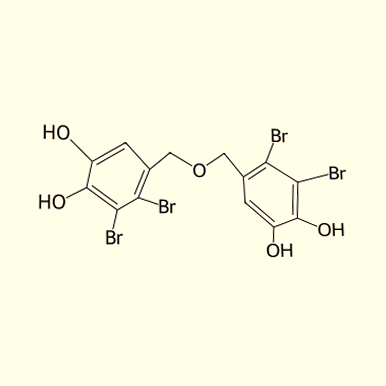 Oc1cc(COCc2cc(O)c(O)c(Br)c2Br)c(Br)c(Br)c1O